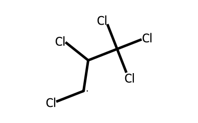 Cl[CH]C(Cl)C(Cl)(Cl)Cl